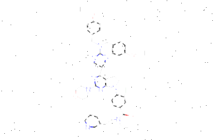 COc1ccc(CN(Cc2ccc(OC)cc2)c2ncc(-c3nc(N4CCOCC4)nc4c3CCN4c3ccc(C(=O)N(C)CCc4cccnc4)cc3F)cn2)cc1